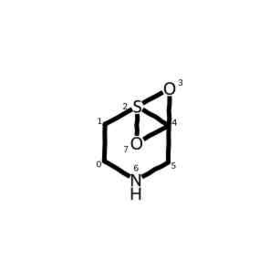 C1CS23OC2(CN1)O3